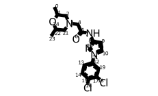 CC1CN(CC(=O)Nc2ccn(-c3ccc(Cl)c(Cl)c3)n2)CC(C)O1